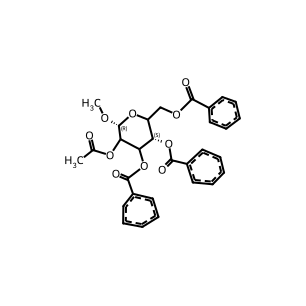 CO[C@@H]1OC(COC(=O)c2ccccc2)[C@H](OC(=O)c2ccccc2)C(OC(=O)c2ccccc2)C1OC(C)=O